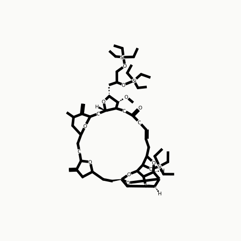 C=C1CC2CC[C@@]34C[C@H]5OC6C(O3)C(O[Si](CC)(CC)CC)C(C/C=C/CC(=O)CC3[C@H](CC7OC(CCC1O2)CC(C)C7=C)O[C@H](CC(CO[Si](CC)(CC)CC)O[Si](CC)(CC)CC)[C@@H]3OC)O[C@H]6C5O4